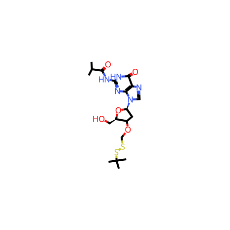 CC(C)C(=O)Nc1nc2c(ncn2[C@H]2CC(OCSSC(C)(C)C)[C@@H](CO)O2)c(=O)[nH]1